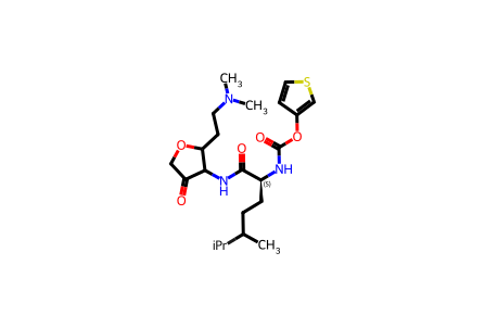 CC(C)C(C)CC[C@H](NC(=O)Oc1ccsc1)C(=O)NC1C(=O)COC1CCN(C)C